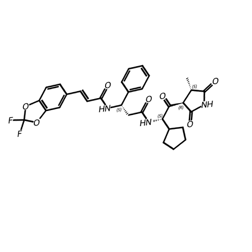 C[C@@H]1C(=O)NC(=O)[C@H]1C(=O)[C@@H](NC(=O)C[C@H](NC(=O)C=Cc1ccc2c(c1)OC(F)(F)O2)c1ccccc1)C1CCCC1